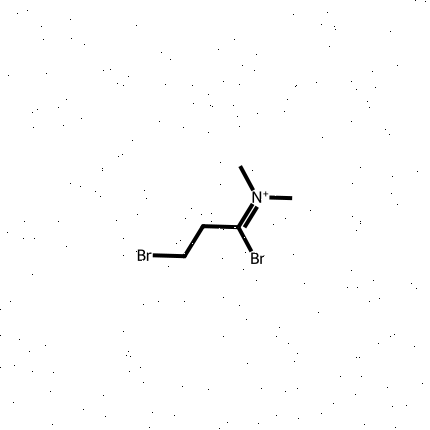 C[N+](C)=C(Br)CCBr